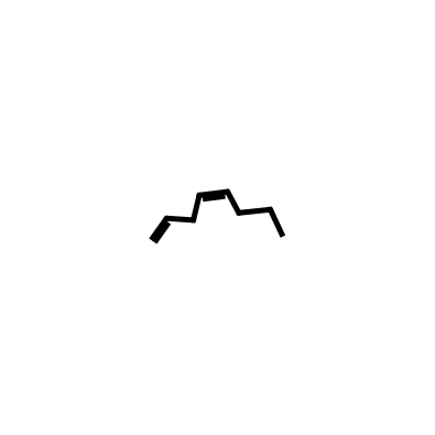 C=CC/C=C\CCC